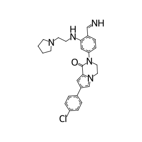 N=Cc1ccc(N2CCn3cc(-c4ccc(Cl)cc4)cc3C2=O)cc1NCCN1CCCC1